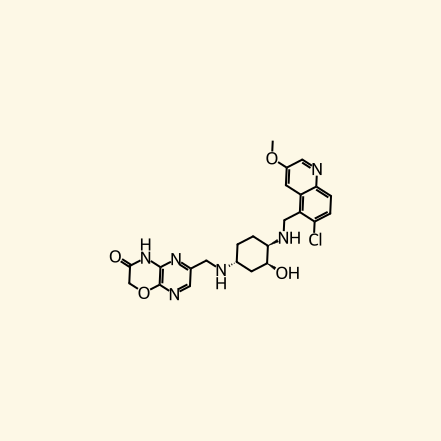 COc1cnc2ccc(Cl)c(CN[C@@H]3CC[C@@H](NCc4cnc5c(n4)NC(=O)CO5)C[C@@H]3O)c2c1